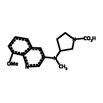 COc1cccc2cc(N(C)C3CCN(C(=O)O)C3)cnc12